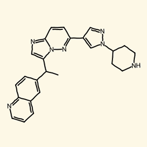 CC(c1ccc2ncccc2c1)c1cnc2ccc(-c3cnn(C4CCNCC4)c3)nn12